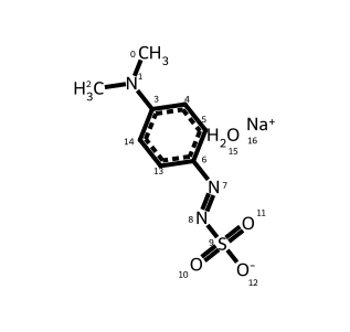 CN(C)c1ccc(/N=N/S(=O)(=O)[O-])cc1.O.[Na+]